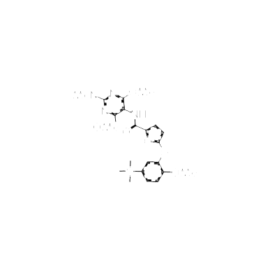 CNc1nc(OC)c(NC(=O)c2ccc(Oc3cc([Si](C)(C)C)ccc3OC)o2)c(OC)n1